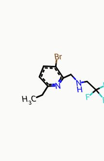 CCc1ccc(Br)c(CNCC(F)(F)F)n1